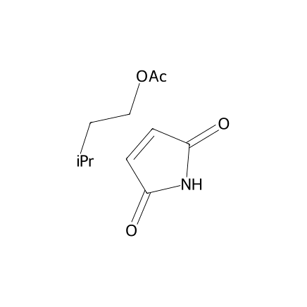 CC(=O)OCCC(C)C.O=C1C=CC(=O)N1